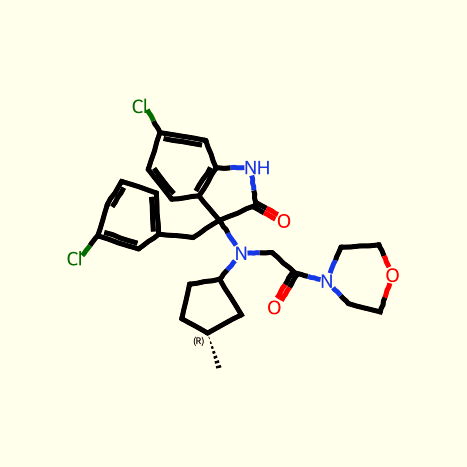 C[C@@H]1CCC(N(CC(=O)N2CCOCC2)C2(Cc3cccc(Cl)c3)C(=O)Nc3cc(Cl)ccc32)C1